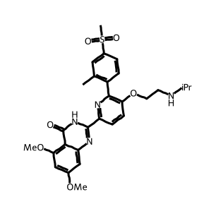 COc1cc(OC)c2c(=O)[nH]c(-c3ccc(OCCNC(C)C)c(-c4ccc(S(C)(=O)=O)cc4C)n3)nc2c1